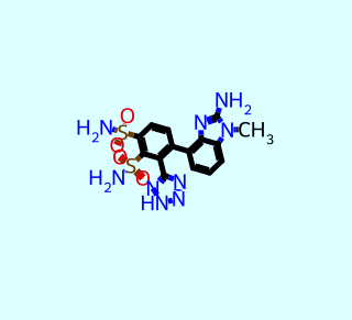 Cn1c(N)nc2c(-c3ccc(S(N)(=O)=O)c(S(N)(=O)=O)c3-c3nn[nH]n3)cccc21